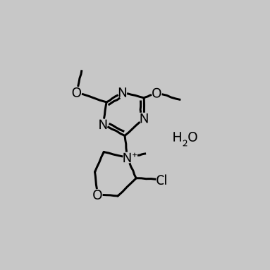 COc1nc(OC)nc([N+]2(C)CCOCC2Cl)n1.O